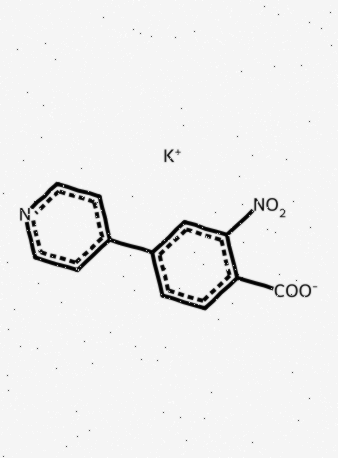 O=C([O-])c1ccc(-c2ccncc2)cc1[N+](=O)[O-].[K+]